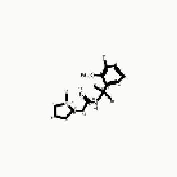 COc1c(F)cccc1C(C)(C)NC(=O)C[C@H]1CCCN1C